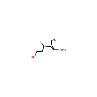 CCCCC/C=C(\C)C(CC)CCO